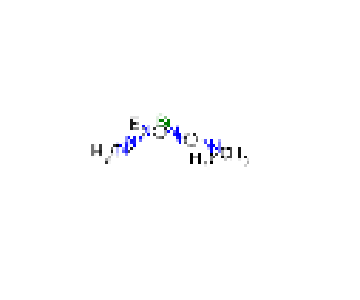 CCN(CC[n+]1ccn(C)c1)c1ccc(/N=N/c2ccc(/C=N/N=C(C)C)cc2)cc1.[Br-]